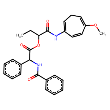 CCC(OC(=O)C(NC(=O)c1ccccc1)c1ccccc1)C(=O)NC1=CCC=C(OC)C=C1